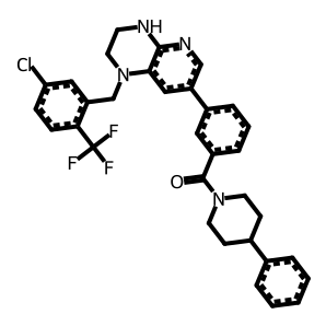 O=C(c1cccc(-c2cnc3c(c2)N(Cc2cc(Cl)ccc2C(F)(F)F)CCN3)c1)N1CCC(c2ccccc2)CC1